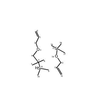 C=CCOCC(C)(C)[SiH](C)C.C=CCO[Si](C)(C)C